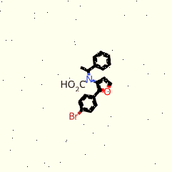 CC(c1ccccc1)N(C(=O)O)c1ccoc1-c1ccc(Br)cc1